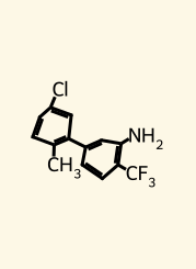 Cc1ccc(Cl)cc1-c1ccc(C(F)(F)F)c(N)c1